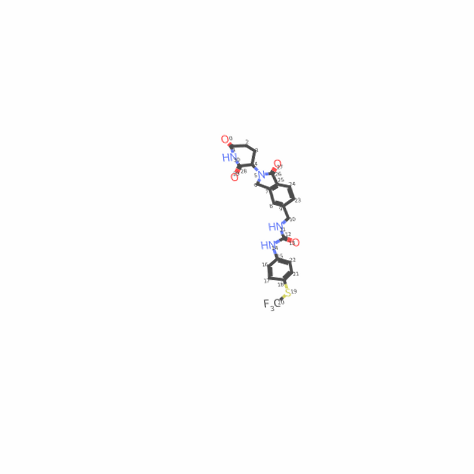 O=C1CCC(N2Cc3cc(CNC(=O)Nc4ccc(SC(F)(F)F)cc4)ccc3C2=O)C(=O)N1